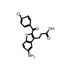 Nc1ccc2oc(C(=O)c3ccc(Cl)cc3)c(CCC(=O)O)c2c1